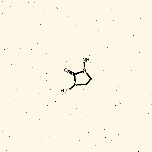 CN1CCN(N)C1=O